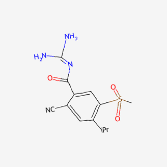 CC(C)c1cc(C#N)c(C(=O)N=C(N)N)cc1S(C)(=O)=O